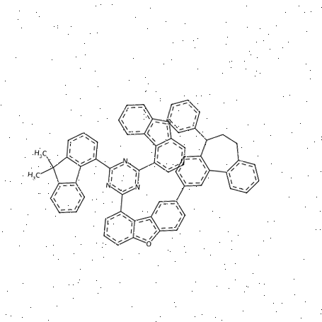 CC1(C)c2ccccc2-c2c(-c3nc(-c4cccc5oc6ccc(-c7ccc8c(c7)-c7ccccc7CCC8c7ccccc7)cc6c45)nc(-c4cccc5sc6ccccc6c45)n3)cccc21